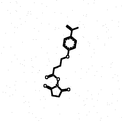 C=C(C)c1ccc(OCCCC(=O)ON2C(=O)CCC2=O)cc1